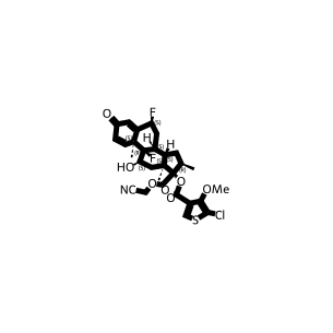 COc1c(C(=O)O[C@]2(C(=O)OCC#N)[C@H](C)C[C@H]3[C@@H]4C[C@H](F)C5=CC(=O)C=C[C@]5(C)[C@@]4(F)[C@@H](O)C[C@@]32C)csc1Cl